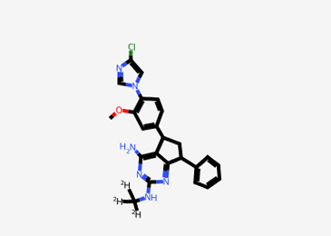 [2H]C([2H])([2H])Nc1nc(N)c2c(n1)C(c1ccccc1)CC2c1ccc(-n2cnc(Cl)c2)c(OC)c1